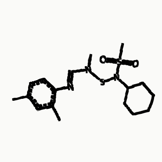 Cc1ccc(N=CN(C)SN(C2CCCCC2)S(C)(=O)=O)c(C)c1